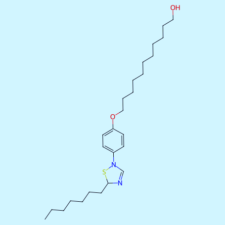 CCCCCCCC1N=CN(c2ccc(OCCCCCCCCCCCO)cc2)S1